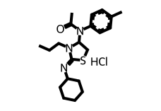 CCCN1C(=NC2CCCCC2)SCC1N(C(C)=O)c1ccc(C)cc1.Cl